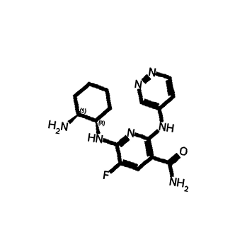 NC(=O)c1cc(F)c(N[C@@H]2CCCC[C@@H]2N)nc1Nc1ccnnc1